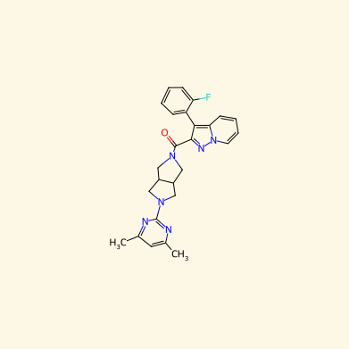 Cc1cc(C)nc(N2CC3CN(C(=O)c4nn5ccccc5c4-c4ccccc4F)CC3C2)n1